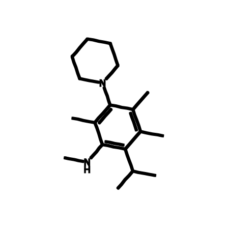 CNc1c(C)c(N2CCCCC2)c(C)c(C)c1C(C)C